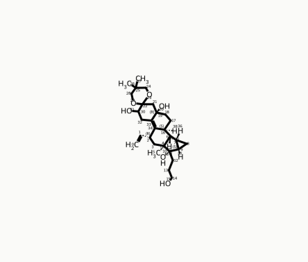 C=C[C@H]1C[C@@]2(C)[C@@H]([C@@H]3C[C@@H]3[C@@]2(O)CCCO)[C@@H]2CC[C@@]3(O)CC4(OCC(C)(C)CO4)C(O)CC3=C21